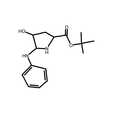 CC(C)(C)OC(=O)C1CC(O)C(Nc2ccccc2)N1